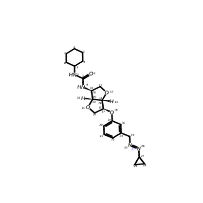 O=C(NC1CCCCC1)N[C@H]1CO[C@H]2[C@@H]1OC[C@@H]2Oc1cccc(C/N=N/C2CC2)c1